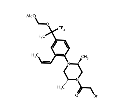 C/C=C\c1cc(C(OCOC)(C(F)(F)F)C(F)(F)F)ccc1N1C[C@@H](C)N(C(=O)CBr)C[C@@H]1C